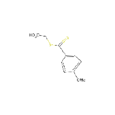 COc1ccc(C(=S)SCC(=O)O)cc1